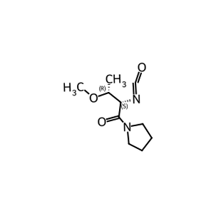 CO[C@H](C)[C@H](N=C=O)C(=O)N1CCCC1